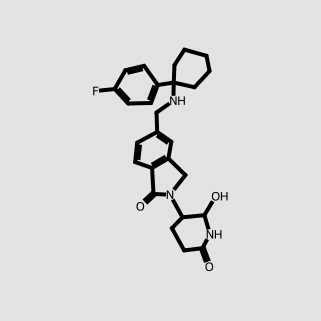 O=C1CCC(N2Cc3cc(CNC4(c5ccc(F)cc5)CCCCC4)ccc3C2=O)C(O)N1